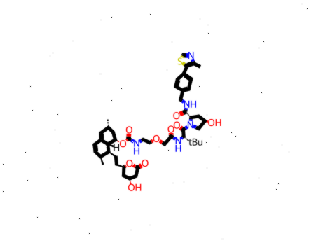 Cc1ncsc1-c1ccc(CNC(=O)[C@@H]2C[C@@H](O)CN2C(=O)[C@@H](NC(=O)COCCNC(=O)O[C@H]2C[C@@H](C)C=C3C=C[C@H](C)[C@H](CC[C@@H]4C[C@@H](O)CC(=O)O4)[C@H]32)C(C)(C)C)cc1